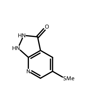 CSc1cnc2[nH][nH]c(=O)c2c1